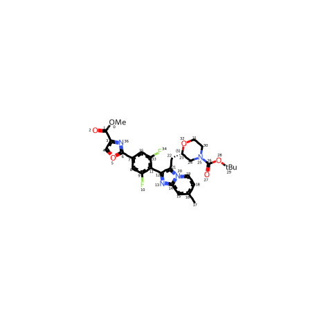 COC(=O)c1coc(-c2cc(F)c(-c3nc4cc(C)ccn4c3C[C@H]3CN(C(=O)OC(C)(C)C)CCO3)c(F)c2)n1